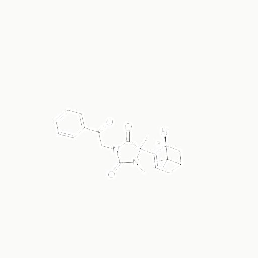 CN1C(=O)N(CC(=O)c2ccccc2)C(=O)C1(C)C1=CCC2C[C@@H]1C2(C)C